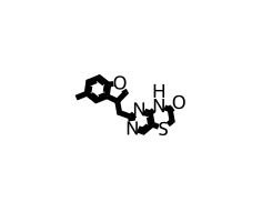 Cc1ccc2c(c1)C(Cc1ncc3c(n1)NC(=O)CS3)CO2